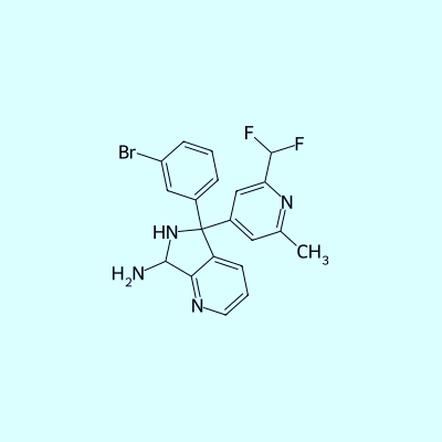 Cc1cc(C2(c3cccc(Br)c3)NC(N)c3ncccc32)cc(C(F)F)n1